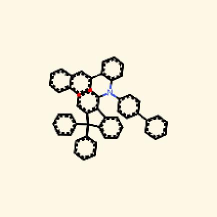 c1ccc(-c2ccc(N(c3ccccc3-c3ccc4ccccc4c3)c3cccc4c3-c3ccccc3C4(c3ccccc3)c3ccccc3)cc2)cc1